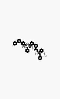 CC/C(=C\CC(NC(C)C1=CCCC=C1)c1ccccc1)C1CCC=C(C2CC=CC(C3N=C(c4ccc(C5C=CC=C(C6C=CCCC6)C5)cc4)NC(C4C=CC=CC4)N3)C2)C1